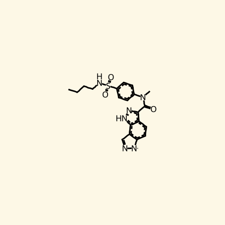 CCCCNS(=O)(=O)c1ccc(N(C)C(=O)c2n[nH]c3c4c(ccc23)[N]N=C4)cc1